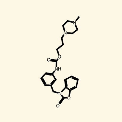 CN1CCN(CCCOC(=O)Nc2cccc(Cn3c(=O)oc4ccccc43)c2)CC1